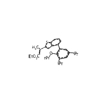 CCCOc1c(-c2cccc3sc(C(C)=CC(=O)OCC)cc23)cc(C(C)C)cc1C(C)C